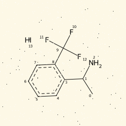 CC(N)c1ccccc1C(F)(F)F.I